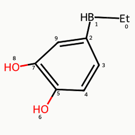 CCBc1ccc(O)c(O)c1